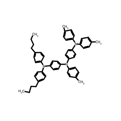 CCCCc1ccc(N(c2ccc(CCCC)cc2)c2ccc(N(c3ccc(C)cc3)c3ccc(N(c4ccc(C)cc4)c4ccc(C)cc4)cc3)cc2)cc1